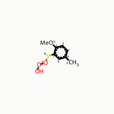 COc1ccc(C)cc1SOOO